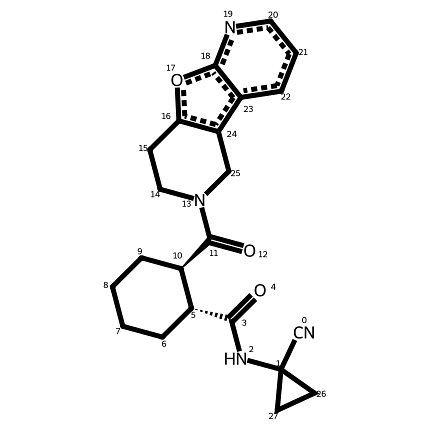 N#CC1(NC(=O)[C@@H]2CCCC[C@H]2C(=O)N2CCc3oc4ncccc4c3C2)CC1